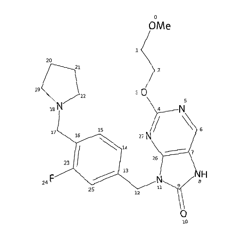 COCCOc1ncc2[nH]c(=O)n(Cc3ccc(CN4CCCC4)c(F)c3)c2n1